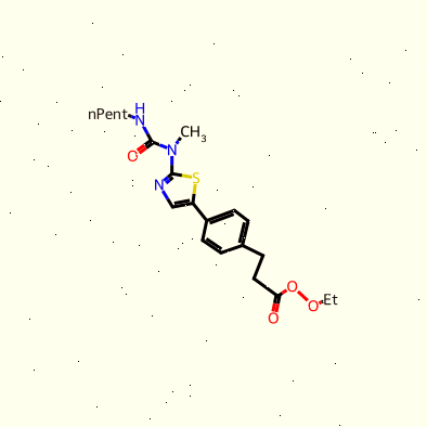 CCCCCNC(=O)N(C)c1ncc(-c2ccc(CCC(=O)OOCC)cc2)s1